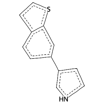 c1cc(-c2ccc3ccsc3c2)c[nH]1